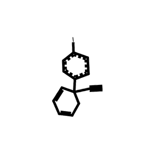 C#CC1(c2ccc(I)cc2)C=CC=CC1